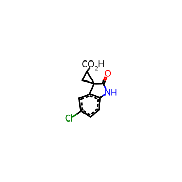 O=C(O)C1CC12C(=O)Nc1ccc(Cl)cc12